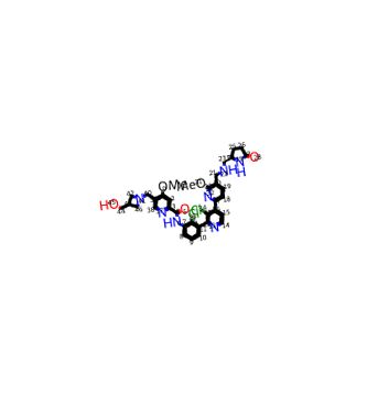 COc1cc(C(=O)Nc2cccc(-c3nccc(-c4ccc(CNC[C@H]5CCC(=O)N5)c(OC)n4)c3Cl)c2Cl)ncc1CN1CC(CO)C1